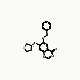 O=c1[nH]cnc2cc(O[C@H]3CCOC3)c(OCc3ccccc3)cc12